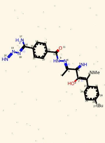 CN/C(=C(/O)C(=N)/C(C)=N/NC(=O)c1ccc(/C(N)=N/N=N)cc1)c1ccc(C(C)(C)C)cc1